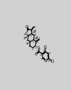 C=C1C(=O)O[C@@H]2C[C@@]3(C)CC[C@@H](OC(=O)c4cnc(Cl)cc4Cl)C(=C)[C@@H]3C[C@H]12